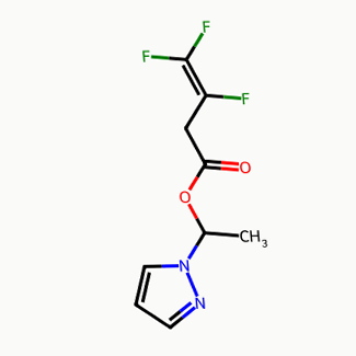 CC(OC(=O)CC(F)=C(F)F)n1cccn1